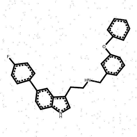 Fc1ccc(-c2ccc3[nH]cc(CCNCc4cccc(Oc5ccccc5)c4)c3c2)cc1